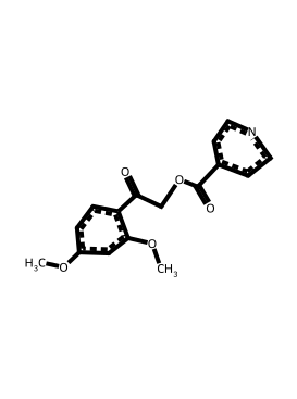 COc1ccc(C(=O)COC(=O)c2ccncc2)c(OC)c1